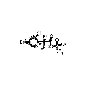 O=C(OS(=O)(=O)C(F)(F)F)C(F)(F)c1ncc(Br)cc1Cl